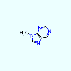 Cn1cnc2[c]ncnc21